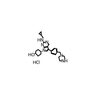 Cl.O[C@H]1CC[C@H](n2cc(-c3ccc(CN4CCNCC4)cc3)c3cnc(NCC4CC4)nc32)CC1